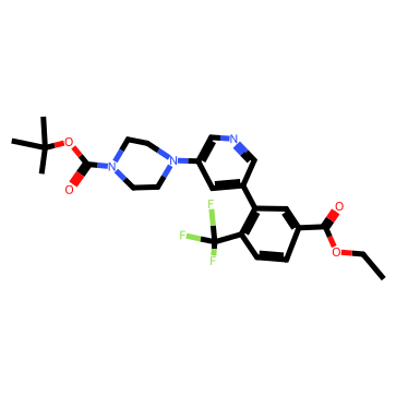 CCOC(=O)c1ccc(C(F)(F)F)c(-c2cncc(N3CCN(C(=O)OC(C)(C)C)CC3)c2)c1